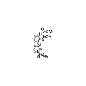 COC(=O)c1cc2cccc(OC3CCCN(C(=O)OC(C)(C)C)C3)c2cc1O